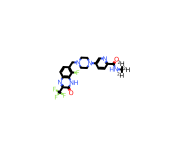 [2H]C([2H])([2H])NC(=O)c1ccc(N2CCN(Cc3ccc4nc(C(F)(F)F)c(=O)[nH]c4c3F)CC2)cn1